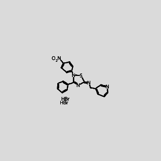 Br.Br.O=[N+]([O-])c1ccc(-n2sc(=NCc3cccnc3)nc2-c2ccccc2)cc1